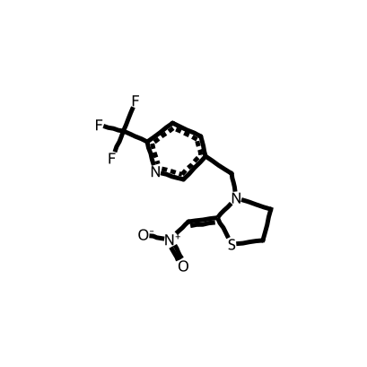 O=[N+]([O-])C=C1SCCN1Cc1ccc(C(F)(F)F)nc1